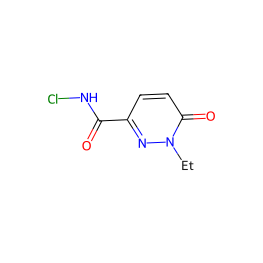 CCn1nc(C(=O)NCl)ccc1=O